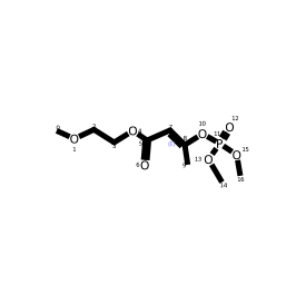 COCCOC(=O)/C=C(\C)OP(=O)(OC)OC